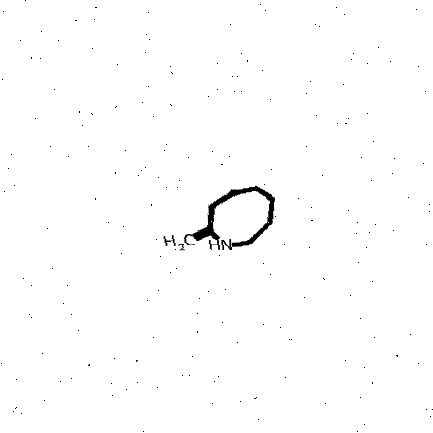 C=C1CCCCCCN1